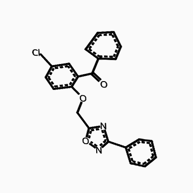 O=C(c1ccccc1)c1cc(Cl)ccc1OCc1nc(-c2ccccc2)no1